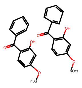 CCCCCCCCOc1ccc(C(=O)c2ccccc2)c(O)c1.CCCCOc1ccc(C(=O)c2ccccc2)c(O)c1